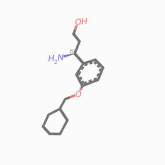 N[C@@H](CCO)c1cccc(OCC2CCCCC2)c1